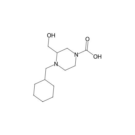 O=C(O)N1CCN(CC2CCCCC2)C(CO)C1